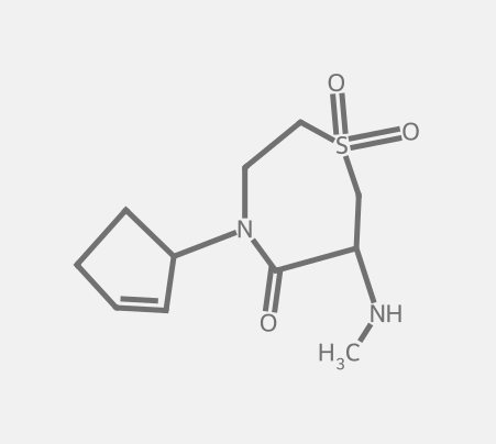 CNC1CS(=O)(=O)CCN(C2C=CCC2)C1=O